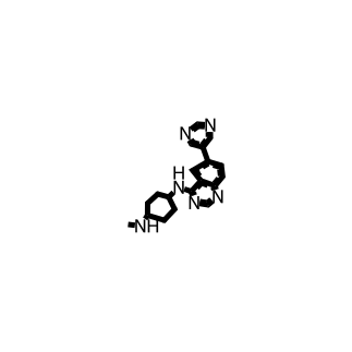 CNC1CCC(Nc2ncnc3ccc(-c4cncnc4)cc23)CC1